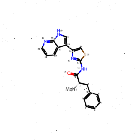 CN[C@@H](Cc1ccccc1)C(=O)Nc1nc(-c2c[nH]c3ncccc23)cs1